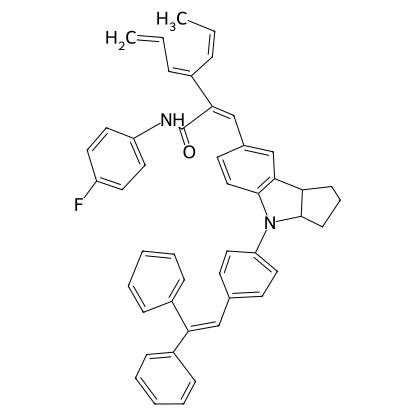 C=C/C=C(\C=C/C)C(=C/c1ccc2c(c1)C1CCCC1N2c1ccc(C=C(c2ccccc2)c2ccccc2)cc1)/C(=O)Nc1ccc(F)cc1